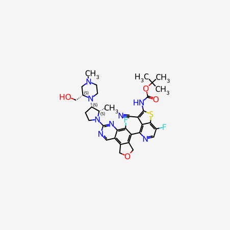 C[C@H]1[C@@H](N2CCN(C)C[C@H]2CO)CCN1c1ncc2c3c(c(-c4ncc(F)c5sc(NC(=O)OC(C)(C)C)c(C#N)c45)c(F)c2n1)COC3